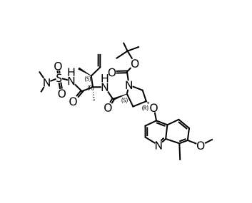 C=C[C@H](C)[C@@](C)(NC(=O)[C@@H]1C[C@@H](Oc2ccnc3c(C)c(OC)ccc23)CN1C(=O)OC(C)(C)C)C(=O)NS(=O)(=O)N(C)C